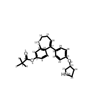 CC(C)(C)C(=O)Oc1ccc2c(c1)SCCC=C2c1ccc(O[C@H]2CCNC2)cc1